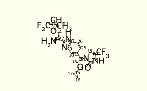 CC(C)(OC[C@H](N)c1nc2cc([C@@H](COC3CC3)N3C[C@@H](C(F)(F)F)NC3=O)ccc2[nH]1)C(F)(F)F